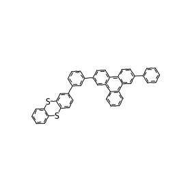 c1ccc(-c2ccc3c4ccc(-c5cccc(-c6ccc7c(c6)Sc6ccccc6S7)c5)cc4c4ccccc4c3c2)cc1